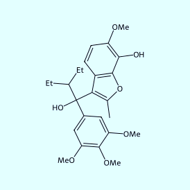 CCC(CC)C(O)(c1cc(OC)c(OC)c(OC)c1)c1c(C)oc2c(O)c(OC)ccc12